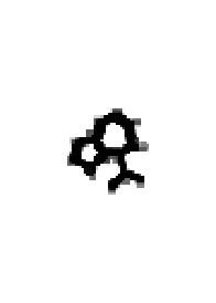 CC(C)C1=c2occc2=CC=C=N1